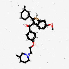 COc1ccc2c(C(=O)c3ccc(OCCN4CCCC(C)C4)cc3)c(C3CCCC(C)C3)sc2c1